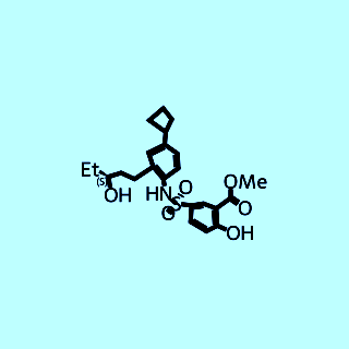 CC[C@H](O)CCc1cc(C2CCC2)ccc1NS(=O)(=O)c1ccc(O)c(C(=O)OC)c1